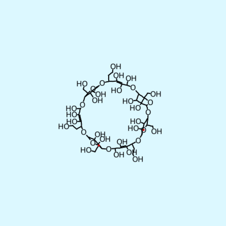 OCCC1OC2OC(CO)C(OC(O)/C(O)=C(\O)C(CCO)OC3OC(CO)C(OC4OC5(CO)C(OC(O)/C(O)=C(\O)C(CCO)OC6OC(CO)C(OC(O)/C(O)=C\1O)C(O)C6O)C(O)C45O)C(O)C3O)C(O)C2O